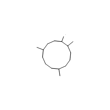 CC1CCCC(C)CCC(O)C(C)CCC1